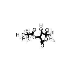 CCC(C)(C)C(=O)OC1C(=O)OC(C)(C)C1O